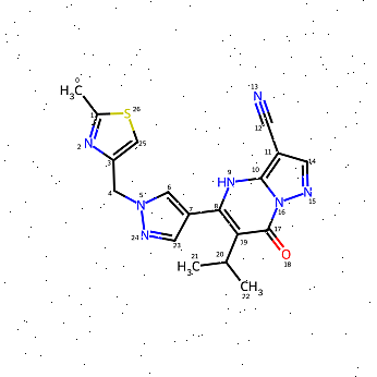 Cc1nc(Cn2cc(-c3[nH]c4c(C#N)cnn4c(=O)c3C(C)C)cn2)cs1